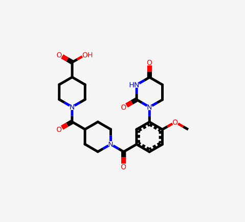 COc1ccc(C(=O)N2CCC(C(=O)N3CCC(C(=O)O)CC3)CC2)cc1N1CCC(=O)NC1=O